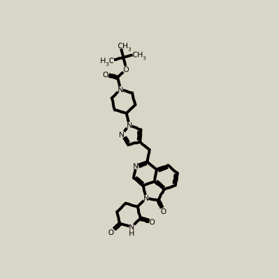 CC(C)(C)OC(=O)N1CCC(n2cc(Cc3ncc4c5c(cccc35)C(=O)N4C3CCC(=O)NC3=O)cn2)CC1